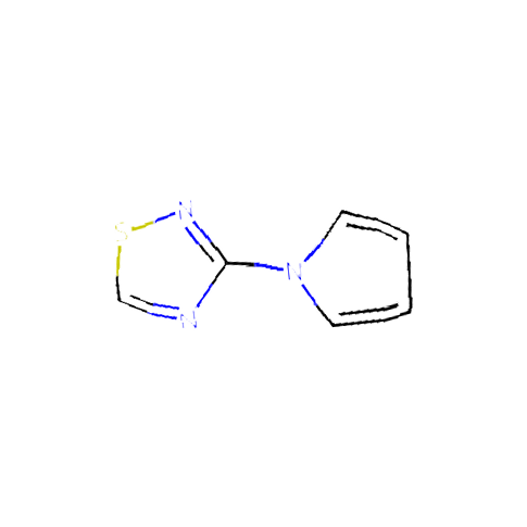 c1ccn(-c2ncsn2)c1